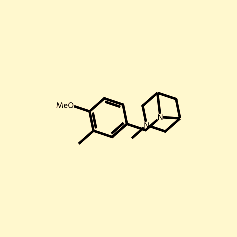 COc1ccc(CN2C3CC2CN(C)C3)cc1C